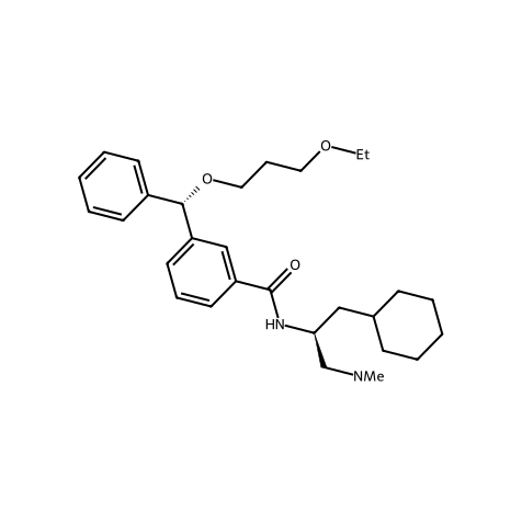 CCOCCCO[C@@H](c1ccccc1)c1cccc(C(=O)N[C@H](CNC)CC2CCCCC2)c1